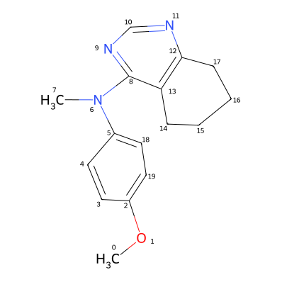 COc1ccc(N(C)c2ncnc3c2CCCC3)cc1